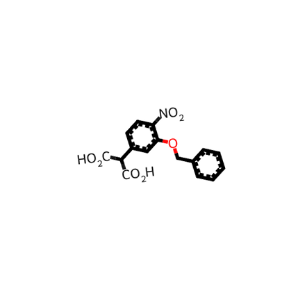 O=C(O)C(C(=O)O)c1ccc([N+](=O)[O-])c(OCc2ccccc2)c1